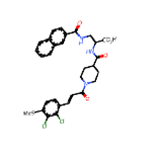 CSc1ccc(C=CC(=O)N2CCC(C(=O)NC(CNC(=O)c3ccc4ccccc4c3)C(=O)O)CC2)c(Cl)c1Cl